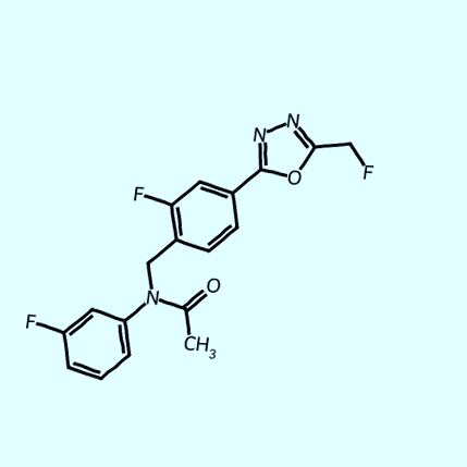 CC(=O)N(Cc1ccc(-c2nnc(CF)o2)cc1F)c1cccc(F)c1